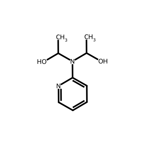 CC(O)N(c1ccccn1)C(C)O